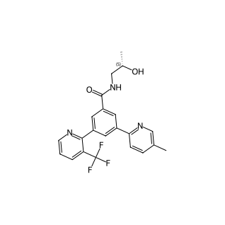 Cc1ccc(-c2cc(C(=O)NC[C@H](C)O)cc(-c3ncccc3C(F)(F)F)c2)nc1